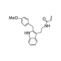 C=CC(=O)NCCc1c(Cc2ccc(OC)cc2)[nH]c2ccccc12